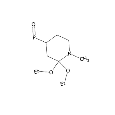 CCOC1(OCC)CC(P=O)CCN1C